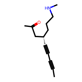 CC#CC#C[C@@H](CCCNC)CC(C)=O